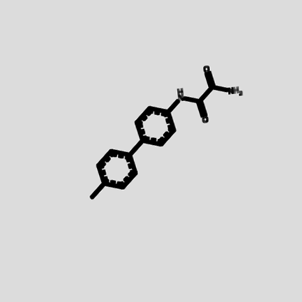 Cc1ccc(-c2ccc(NC(=O)C(N)=O)cc2)cc1